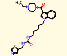 CCN1CCN(C(=O)c2cn(CCCCCNC(=O)NCc3cncs3)c3ccccc23)CC1